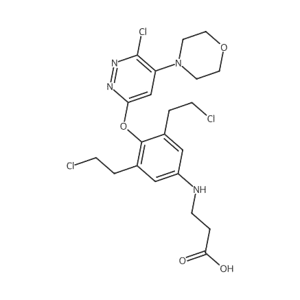 O=C(O)CCNc1cc(CCCl)c(Oc2cc(N3CCOCC3)c(Cl)nn2)c(CCCl)c1